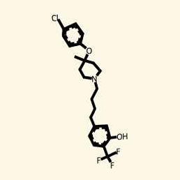 CC1(Oc2ccc(Cl)cc2)CCN(CCCCc2ccc(C(F)(F)F)c(O)c2)CC1